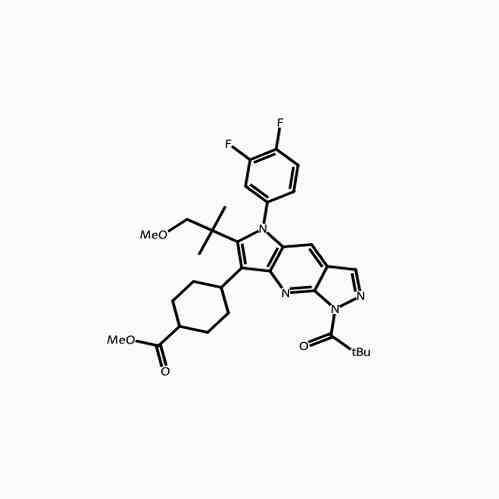 COCC(C)(C)c1c(C2CCC(C(=O)OC)CC2)c2nc3c(cnn3C(=O)C(C)(C)C)cc2n1-c1ccc(F)c(F)c1